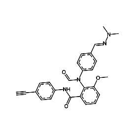 C#Cc1ccc(NC(=O)c2cccc(OC)c2N(C=O)c2ccc(C=NN(C)C)cc2)cc1